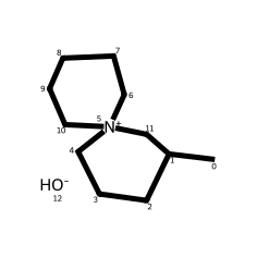 CC1CCC[N+]2(CCCCC2)C1.[OH-]